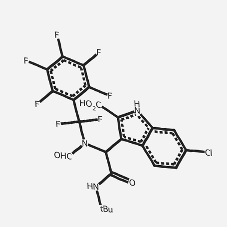 CC(C)(C)NC(=O)C(c1c(C(=O)O)[nH]c2cc(Cl)ccc12)N(C=O)C(F)(F)c1c(F)c(F)c(F)c(F)c1F